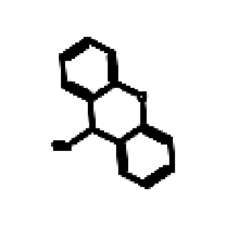 CC(C)(C)C1c2ccccc2Oc2ccccc21